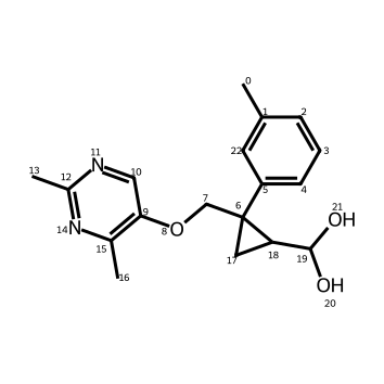 Cc1cccc(C2(COc3cnc(C)nc3C)CC2C(O)O)c1